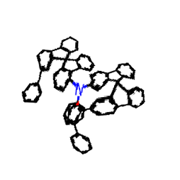 C1=CC2=C(CC1)c1ccc(-c3ccccc3)cc1C21c2ccccc2-c2c(N(c3ccc(-c4ccccc4)cc3)c3ccc4c(c3)C3(c5ccccc5-c5ccc(-c6ccccc6)cc53)c3ccccc3-4)cccc21